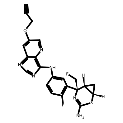 C#CCOc1cnc2c(Nc3ccc(F)c([C@@]4(CF)N=C(N)S[C@H]5C[C@H]54)c3)ncnc2c1